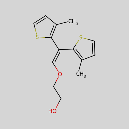 Cc1ccsc1C(=COCCO)c1sccc1C